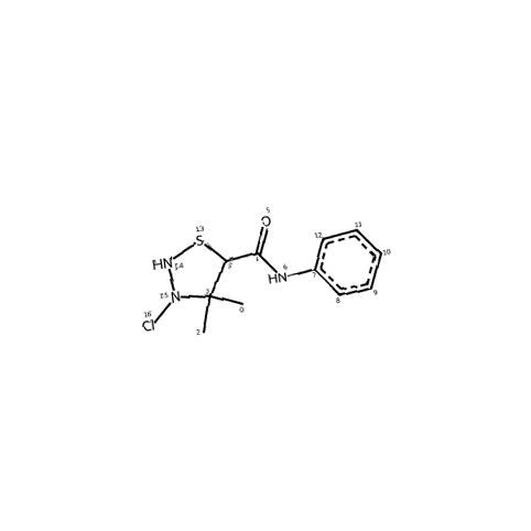 CC1(C)C(C(=O)Nc2ccccc2)SNN1Cl